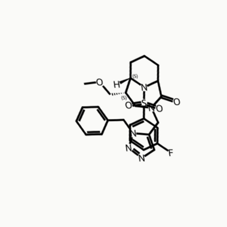 COC[C@H]1CN(Cc2cnnn2Cc2ccccc2)C(=O)C2CCC[C@@H]1N2S(=O)(=O)c1cccc(F)c1